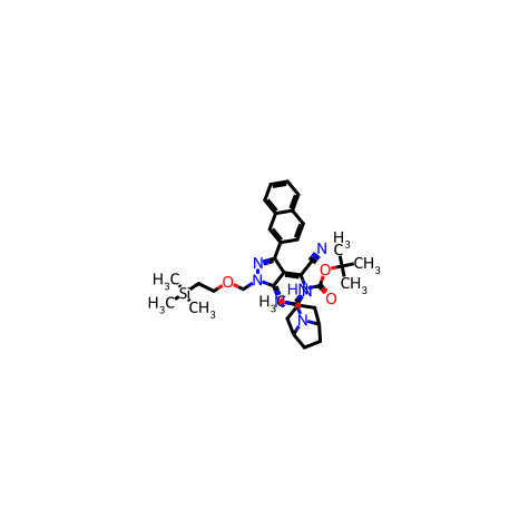 CC1(NC(=O)OC(C)(C)C)CC2CCC(C1)N2c1nc(C#N)c2c(-c3ccc4ccccc4c3)nn(COCC[Si](C)(C)C)c2n1